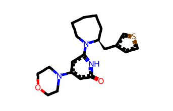 O=c1cc(N2CCOCC2)cc(N2CCCCC[C@H]2Cc2ccsc2)[nH]1